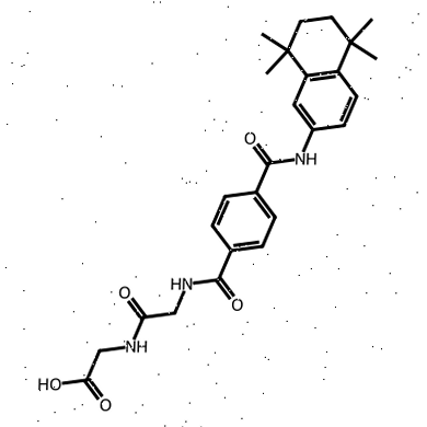 CC1(C)CCC(C)(C)c2cc(NC(=O)c3ccc(C(=O)NCC(=O)NCC(=O)O)cc3)ccc21